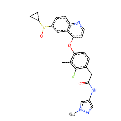 Cc1c(Oc2ccnc3ccc([S+]([O-])C4CC4)cc23)ccc(CC(=O)Nc2cnn(C(C)(C)C)c2)c1F